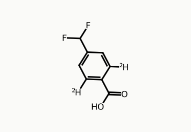 [2H]c1cc(C(F)F)cc([2H])c1C(=O)O